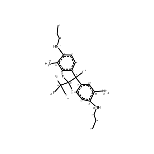 CCCNc1ccc(C(F)(c2ccc(NCCC)c(N)c2)C(F)(F)C(F)(F)F)cc1N